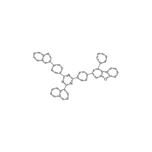 c1ccc(-c2cc(-c3ccc(-c4nc(-c5ccc(-c6ccc7ccccc7c6)cc5)nc(-c5cccc6ccccc56)n4)cc3)cc3oc4ccccc4c23)cc1